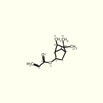 C=CC(=O)OC1CC2CC1C(C)C2(C)C